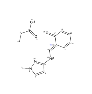 CCC(=O)O.Cn1ccc(N/C=C2\C=CC=CC2=O)n1